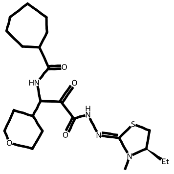 CC[C@@H]1CS/C(=N\NC(=O)C(=O)C(NC(=O)C2CCCCCC2)C2CCOCC2)N1C